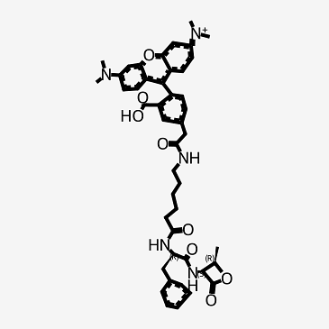 C[C@H]1OC(=O)[C@H]1NC(=O)[C@@H](Cc1ccccc1)NC(=O)CCCCCNC(=O)Cc1ccc(-c2c3ccc(=[N+](C)C)cc-3oc3cc(N(C)C)ccc23)c(C(=O)O)c1